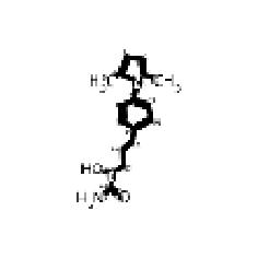 Cc1ccc(C)n1-c1ccc(/C=C/CN(O)C(N)=O)cc1